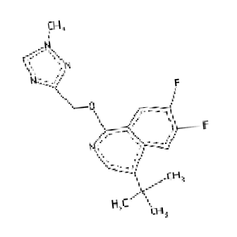 Cn1cnc(COc2ncc(C(C)(C)C)c3cc(F)c(F)cc23)n1